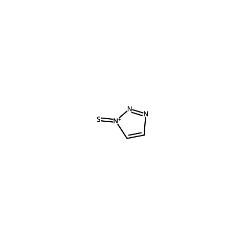 S=[N+]1C=CN=N1